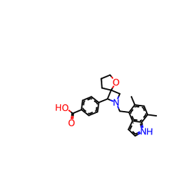 Cc1cc(C)c2[nH]ccc2c1CN1CC2(CCCO2)C1c1ccc(C(=O)O)cc1